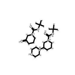 CC(C)(C)OC(=O)N1CCCC(=O)C1.CC(C)(C)OC(=O)N1CCCC(N2CCOCC2)C1